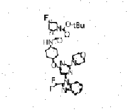 CC(C)(C)OC(=O)N1C[C@H](F)C[C@H]1C(=O)N[C@H]1CC[C@H](Oc2cc(-n3c(C(F)F)nc4ccccc43)nc(N3CCOCC3)n2)CC1